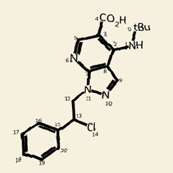 CC(C)(C)Nc1c(C(=O)O)cnc2c1cnn2CC(Cl)c1ccccc1